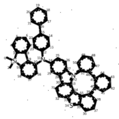 C[Si]1(C)c2ccccc2-c2c(N(c3ccc(-c4ccccc4)cc3)c3ccc4c(c3)c3ccc5sc6cccc7c8ccccc8c8ccccc8n4c3c5c67)cccc21